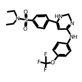 CCN(CC)S(=O)(=O)c1ccc(C2=CC(Nc3ccc(OC(F)(F)F)cc3)=NCN2)cc1